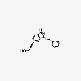 OCC#Cc1ccc2[nH]nc(C=Cc3cccnc3)c2c1